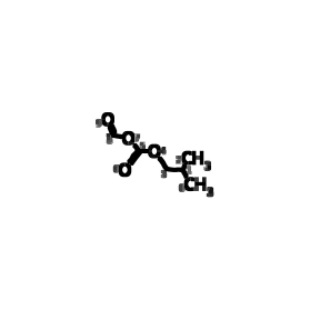 CC(C)COC(=O)O[C]=O